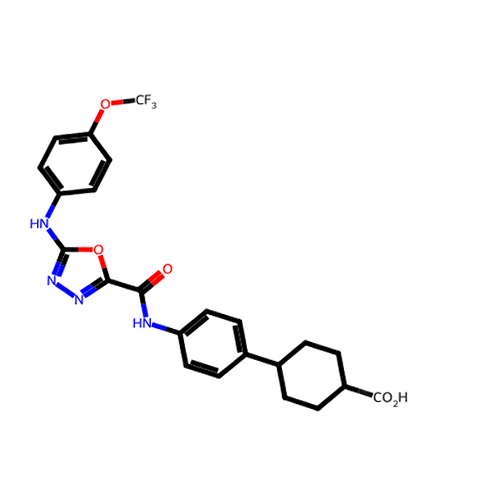 O=C(Nc1ccc(C2CCC(C(=O)O)CC2)cc1)c1nnc(Nc2ccc(OC(F)(F)F)cc2)o1